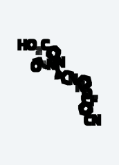 N#Cc1ccc(COc2cccc(N3CCC4(CC3)CC4c3nc4ccc(C(=O)O)cc4n3C[C@@H]3CCO3)n2)c(F)c1